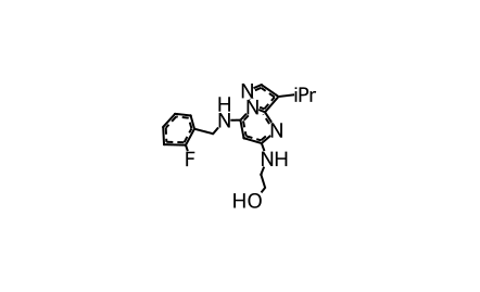 CC(C)c1cnn2c(NCc3ccccc3F)cc(NCCO)nc12